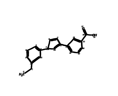 CCc1cccc(-n2ccc(-c3cccc(C(=O)O)c3)c2)c1